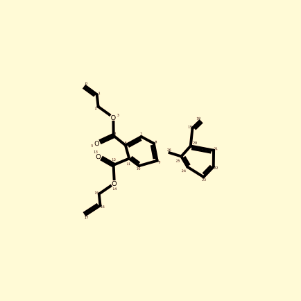 C=CCOC(=O)c1ccccc1C(=O)OCC=C.C=Cc1ccccc1C